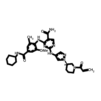 C=CC(=O)N1CCC[C@@H](n2cc(Nc3ncc(C(N)=O)c(Nc4c(C)cc(C(=O)NC5CCCCC5)cc4OC)n3)cn2)C1